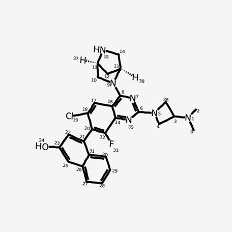 CN(C)C1CN(c2nc(N3C[C@@H]4C[C@H]3CN4)c3cc(Cl)c(-c4cc(O)cc5ccccc45)c(F)c3n2)C1